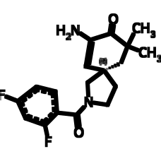 CC1(C)C[C@]2(C=C(N)C1=O)CCN(C(=O)c1ccc(F)cc1F)C2